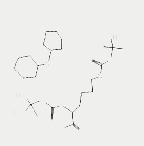 C1CCC(NC2CCCCC2)CC1.CC(C)(C)OC(=O)NCCCCC(NC(=O)OC(C)(C)C)C(=O)O